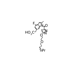 CCCSCCOCCOc1nnc(C(=O)n2c(C)cc3c(F)cc(CC(=O)O)cc32)s1